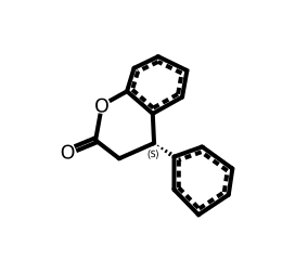 O=C1C[C@@H](c2ccccc2)c2ccccc2O1